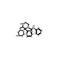 CC1NCCN(C(=O)Nc2ccccc2)C1(c1ncccn1)N1CCNCC1